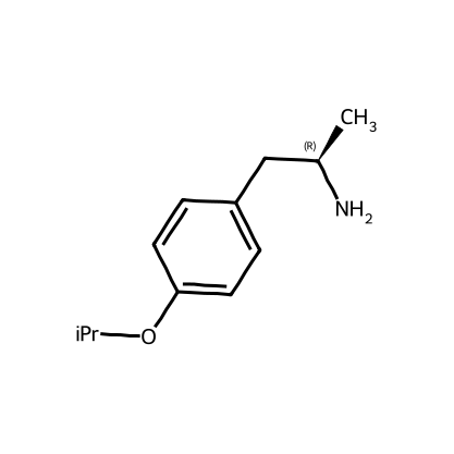 CC(C)Oc1ccc(C[C@@H](C)N)cc1